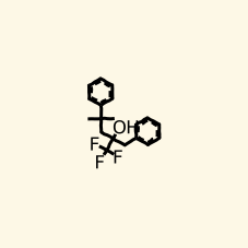 CC(C)(CC(O)(Cc1ccccc1)C(F)(F)F)c1ccccc1